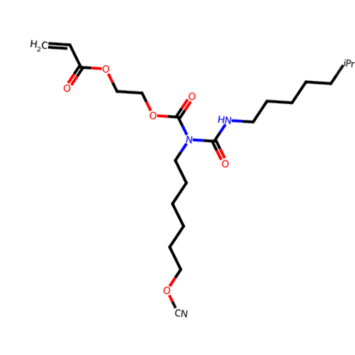 C=CC(=O)OCCOC(=O)N(CCCCCCOC#N)C(=O)NCCCCCC(C)C